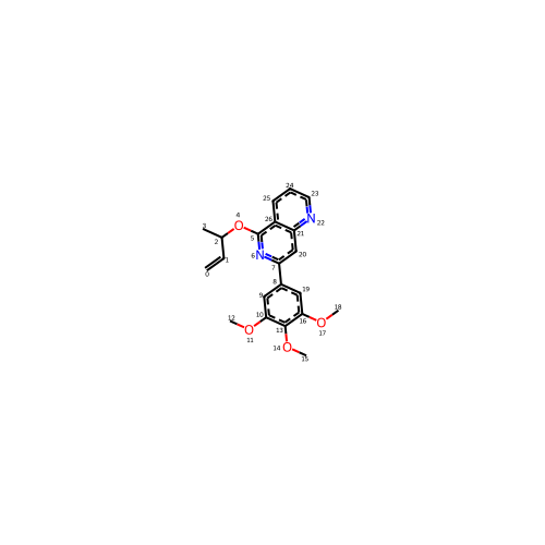 C=CC(C)Oc1nc(-c2cc(OC)c(OC)c(OC)c2)cc2ncccc12